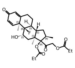 CCC(=O)OCC(=O)[C@@]1(OC(=O)CC)[C@H](C)C[C@H]2[C@@H]3CCC4=CC(=O)C=C[C@]4(C)[C@@]3(F)[C@@H](O)C[C@@]21C